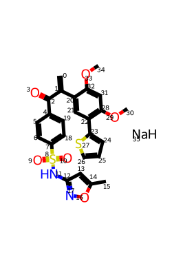 C=C(C(=O)c1ccc(S(=O)(=O)Nc2cc(C)on2)cc1)c1cc(-c2cccs2)c(OC)cc1OC.[NaH]